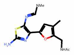 CNC=Nc1sc(N)nc1-c1cc(C)c(CNC(C)=O)o1